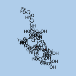 CN[C@H](CC(C)C)C(=O)NC1C(=O)N[C@@H](CC(N)=O)C(=O)N[C@H]2C(=O)N[C@H]3C(=O)N[C@H](C(=O)N[C@@H](C(=O)O)c4cc(O)cc(O)c4-c4cc3ccc4O)[C@H](OC3C[C@](C)(NCC[C@H](O)[C@H](O)CO)[C@@H](O)[C@H](C)O3)c3ccc(c(Cl)c3)Oc3cc2cc(c3O[C@@H]2O[C@H](CO)[C@@H](O[C@@H]3O[C@H](CNCc4cccc(NC(=O)c5cccc(OC(F)(F)F)c5)c4)[C@H](O)[C@H](O)[C@H]3O)[C@H](O)[C@H]2O)Oc2ccc(cc2Cl)[C@H]1O